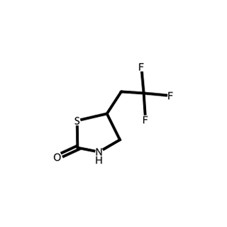 O=C1NCC(CC(F)(F)F)S1